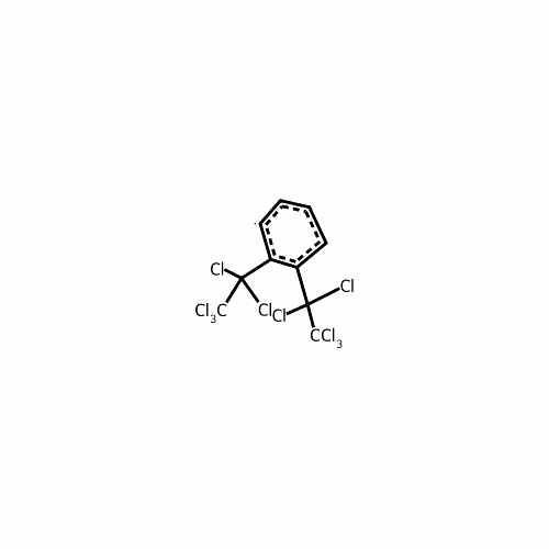 ClC(Cl)(Cl)C(Cl)(Cl)c1[c]cccc1C(Cl)(Cl)C(Cl)(Cl)Cl